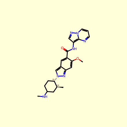 CNC1CC[C@H](n2cc3cc(C(=O)Nc4cnn5cccnc45)c(OC)cc3n2)[C@@H](C)C1